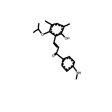 CNc1ccc(C(=O)/C=C/c2c(O)c(C)cc(C)c2OC(C)C)cc1